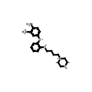 Nc1ccc(Oc2ccccc2OCCCCN2CCOCC2)cc1N